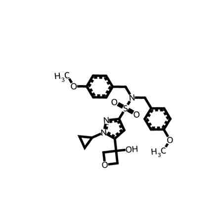 COc1ccc(CN(Cc2ccc(OC)cc2)S(=O)(=O)c2cc(C3(O)COC3)n(C3CC3)n2)cc1